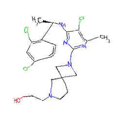 Cc1nc(N2CC3(CCN(CCO)C3)C2)nc(N[C@H](C)c2ccc(Cl)cc2Cl)c1Cl